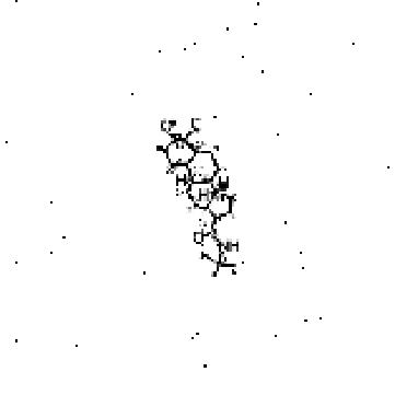 CC(C)(C)NC(=O)C1CC[C@H]2[C@@H]3CCC4=C(Cl)C(=O)CC[C@]4(C)[C@@H]3CC[C@]12C